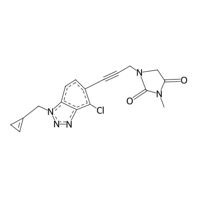 CN1C(=O)CN(CC#Cc2ccc3c(nnn3CC3=CC3)c2Cl)C1=O